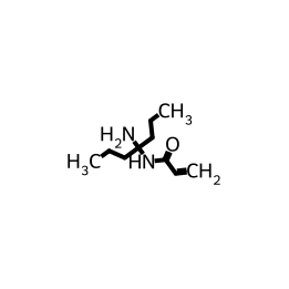 C=CC(=O)NC(N)(CCC)CCC